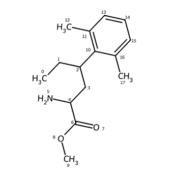 CCC(CC(N)C(=O)OC)c1c(C)cccc1C